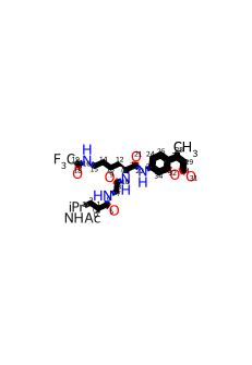 CC(=O)N[C@@H](CC(C)C)C(=O)NCC(=O)N[C@@H](CCCCNC(=O)C(F)(F)F)C(=O)Nc1ccc2c(C)cc(=O)oc2c1